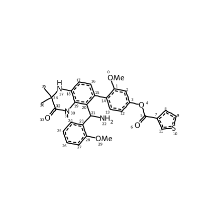 COc1cc(OC(=O)c2ccsc2)ccc1-c1ccc2c(c1C(N)c1ccccc1OC)N(C)C(=O)C(C)(C)N2